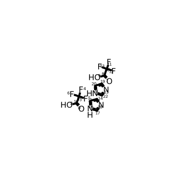 O=C(O)C(F)(F)F.O=C(O)C(F)(F)F.c1c[nH]cn1.c1c[nH]cn1